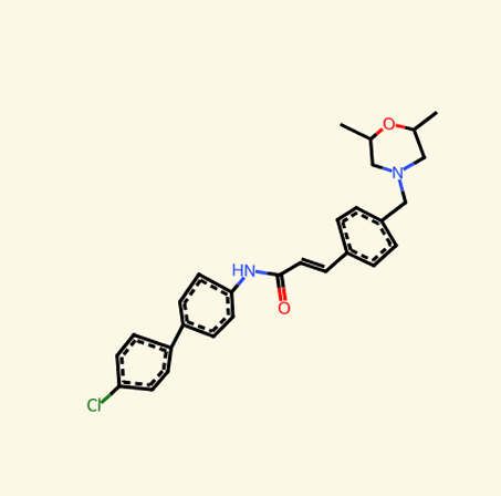 CC1CN(Cc2ccc(C=CC(=O)Nc3ccc(-c4ccc(Cl)cc4)cc3)cc2)CC(C)O1